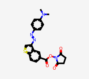 CN(C)c1ccc(N=Nc2csc3ccc(C(=O)ON4C(=O)CCC4=O)cc23)cc1